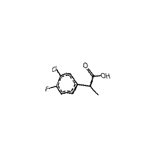 CC(C(=O)O)c1ccc(F)c(Cl)c1